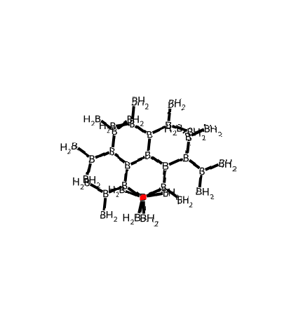 BB(B)B(B)B(B(B(B)B)B(B)B)B(B(B(B)B)B(B)B)B(B(B(B)B)B(B)B)B(B(B)B)B(B)B